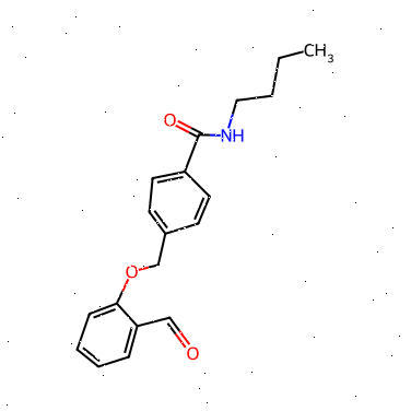 CCCCNC(=O)c1ccc(COc2ccccc2C=O)cc1